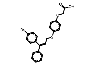 O=C(O)COc1ccc(SCC=C(c2ccccc2)c2ccc(Br)cc2)cc1